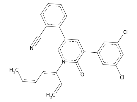 C=C/C(=C\C=C/C)n1cc(-c2ccccc2C#N)cc(-c2cc(Cl)cc(Cl)c2)c1=O